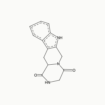 O=C1NCC(=O)N2Cc3[nH]c4ccccc4c3CC12